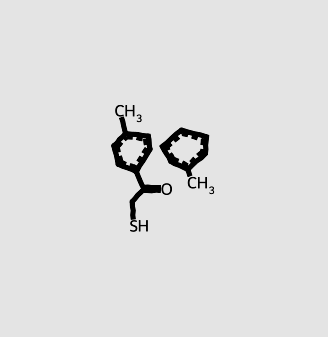 Cc1ccc(C(=O)CS)cc1.Cc1ccccc1